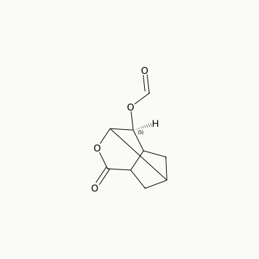 O=CO[C@H]1C2CC3CC2C(=O)OC31